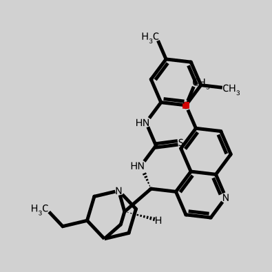 CCC1CN2CCC1C[C@@H]2[C@H](NC(=S)Nc1cc(C)cc(C)c1)c1ccnc2ccc(OC)cc12